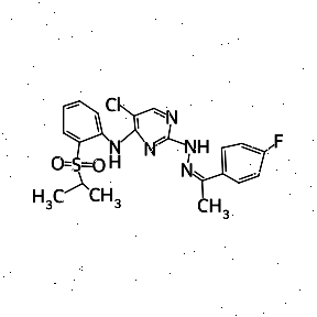 CC(=NNc1ncc(Cl)c(Nc2ccccc2S(=O)(=O)C(C)C)n1)c1ccc(F)cc1